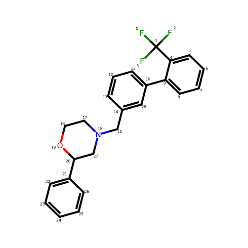 FC(F)(F)c1ccccc1-c1cccc(CN2CCOC(c3ccccc3)C2)c1